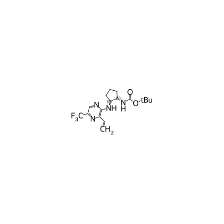 C=Cc1nc(C(F)(F)F)cnc1N[C@H]1CCC[C@@H]1NC(=O)OC(C)(C)C